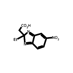 CCC1(CC(=O)O)N=c2ccc([N+](=O)[O-])cc2=N1